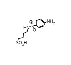 Nc1ccc(S(=O)(=O)NCCCCS(=O)(=O)O)cc1